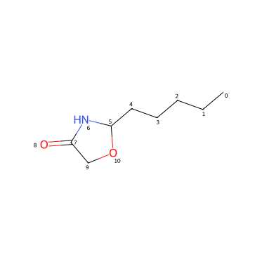 CCCCCC1NC(=O)CO1